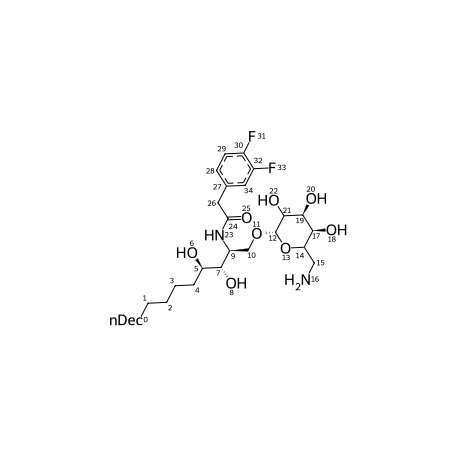 CCCCCCCCCCCCCC[C@@H](O)[C@@H](O)[C@H](CO[C@H]1OC(CN)[C@H](O)[C@H](O)C1O)NC(=O)Cc1ccc(F)c(F)c1